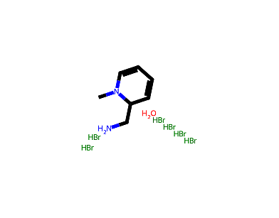 Br.Br.Br.Br.Br.Br.CN1C=CC=CC1CN.O